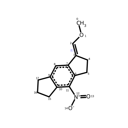 CO/C=C1\CCc2c1cc1c(c2[N+](=O)[O-])CCC1